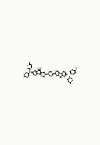 Cc1ccc(N(c2ccc(C)cc2)c2ccc3c(c2)C(C)(C)c2cc(-c4ccc(-c5ccc6c(c5)C(C)(C)c5cc(N(c7ccc(C)cc7)c7ccc(C)cc7)ccc5-6)cc4)ccc2-3)cc1